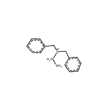 [SiH3][SiH2][SiH](Cc1ccccc1)Cc1ccccc1